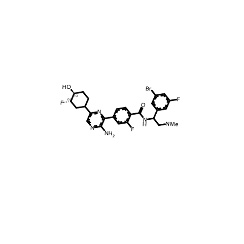 CNCC(NC(=O)c1ccc(-c2nc(C3CC[C@H](O)[C@@H](F)C3)cnc2N)cc1F)c1cc(F)cc(Br)c1